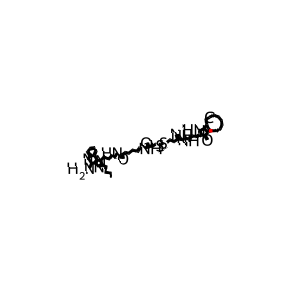 CCCCc1nc2c(N)nc3ccccc3c2n1CCCCNC(=O)CCCCCNC(=O)CCSSCCCC(=N)NCCCCC1NC2C3CCCCCCCCC(C3)C2C1=O